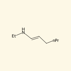 [CH2]CCCC=CNCC